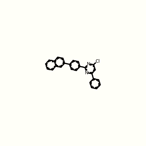 Clc1cc(-c2ccccc2)nc(-c2ccc(-c3ccc4ccccc4c3)cc2)n1